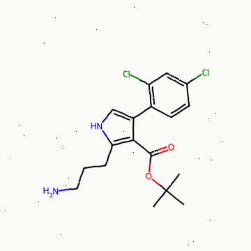 CC(C)(C)OC(=O)c1c(-c2ccc(Cl)cc2Cl)c[nH]c1CCCN